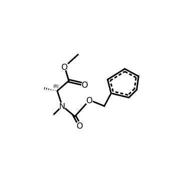 COC(=O)[C@@H](C)N(C)C(=O)OCc1ccccc1